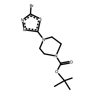 CC(C)(C)OC(=O)N1CCN(c2nnc(Br)s2)CC1